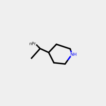 CCCC(C)C1CCNCC1